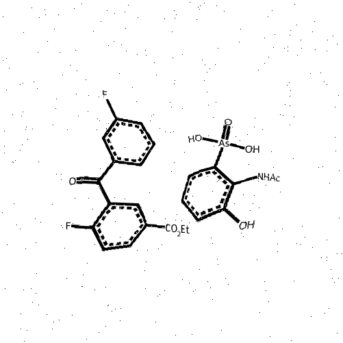 CC(=O)Nc1c(O)cccc1[As](=O)(O)O.CCOC(=O)c1ccc(F)c(C(=O)c2cccc(F)c2)c1